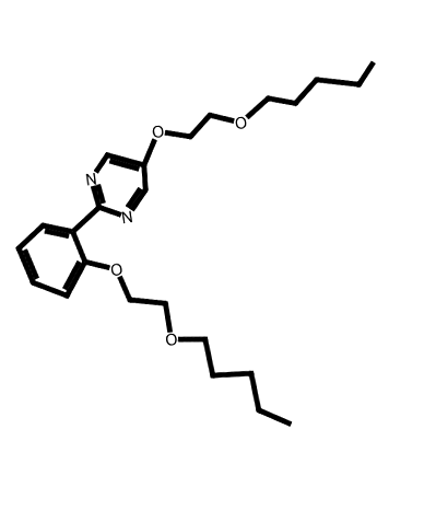 CCCCCOCCOc1cnc(-c2ccccc2OCCOCCCCC)nc1